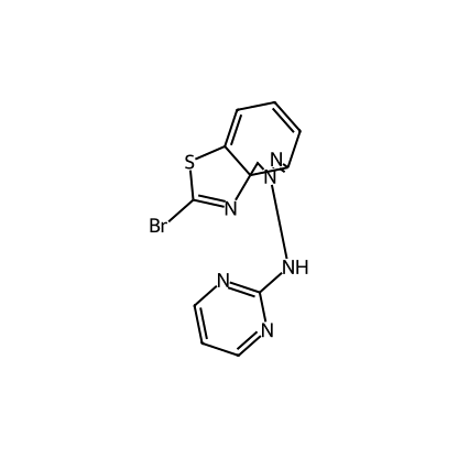 BrC1=NC23CN(Nc4ncccn4)N=C2C=CC=C3S1